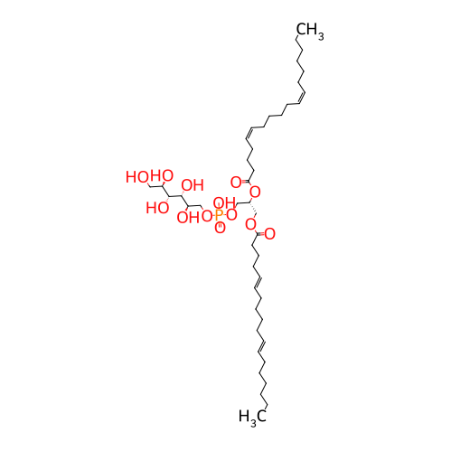 CCCCCCC=CCCCCC=CCCCC(=O)OC[C@H](COP(=O)(O)OC[C@@H](O)[C@@H](O)[C@H](O)[C@H](O)CO)OC(=O)CCC/C=C\CCCC/C=C\CCCCCC